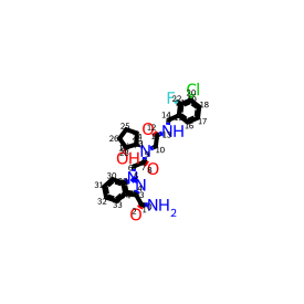 NC(=O)c1nn(CC(=O)N(CC(=O)NCc2cccc(Cl)c2F)[C@H]2CCC[C@@H]2O)c2ccccc12